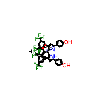 Cc1cc(C)c(/C(=C2/N=C(c3ccc(O)cc3)C=C2c2cc(C(F)(F)F)cc(C(F)(F)F)c2)c2[nH]c(-c3ccc(O)cc3)cc2-c2cc(C(F)(F)F)cc(C(F)(F)F)c2)c(C)c1